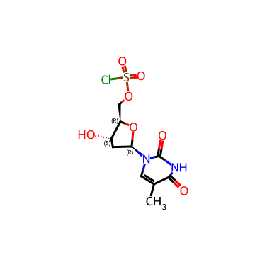 Cc1cn([C@H]2C[C@H](O)[C@@H](COS(=O)(=O)Cl)O2)c(=O)[nH]c1=O